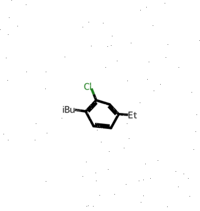 CCc1ccc(C(C)CC)c(Cl)c1